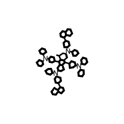 CC1CC(N(c2ccccc2)c2ccc(-c3cccc4ccccc34)cc2)=Cc2c1c(-c1ccc(N(c3ccccc3)c3ccccc3)cc1)c1cc(N(c3ccccc3)c3ccc(-c4cccc5ccccc45)cc3)ccc1c2-c1ccc(N(c2ccccc2)c2ccccc2)cc1